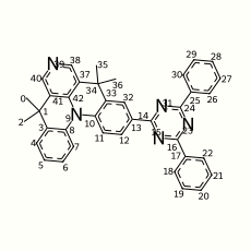 CC1(C)c2ccccc2N2c3ccc(-c4nc(-c5ccccc5)nc(-c5ccccc5)n4)cc3C(C)(C)c3cncc1c32